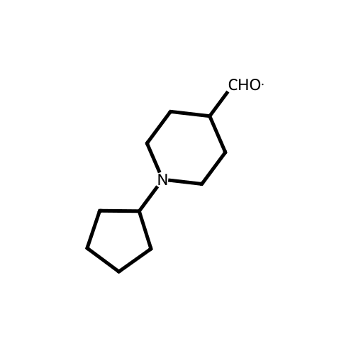 O=[C]C1CCN(C2CCCC2)CC1